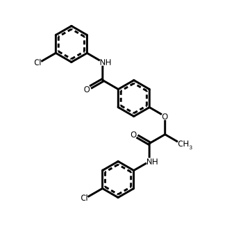 CC(Oc1ccc(C(=O)Nc2cccc(Cl)c2)cc1)C(=O)Nc1ccc(Cl)cc1